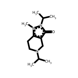 CC(C)N1CCc2c(c(=O)n(C(C)C)n2C)C1